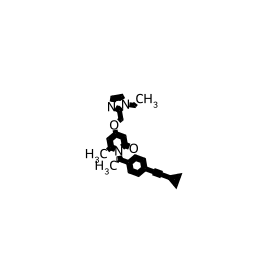 CCn1ccnc1COc1cc(C)n([C@H](C)c2ccc(C#CC3CC3)cc2)c(=O)c1